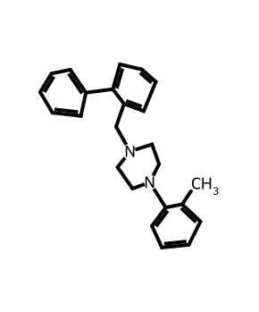 Cc1ccccc1N1CCN(Cc2ccccc2-c2ccccc2)CC1